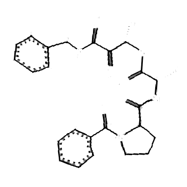 CC(C)[C@H](NC(=O)[C@H](C)NC(=O)C1CCCN1C(=O)c1ccccc1)C(=O)C(=O)NCc1ccccc1